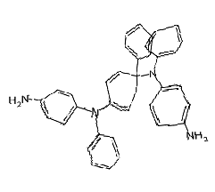 Nc1ccc(N(C2=CCC(c3ccccc3)(N(c3ccccc3)c3ccc(N)cc3)C=C2)c2ccccc2)cc1